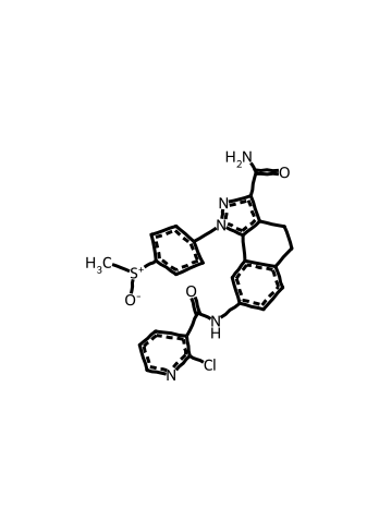 C[S+]([O-])c1ccc(-n2nc(C(N)=O)c3c2-c2cc(NC(=O)c4cccnc4Cl)ccc2CC3)cc1